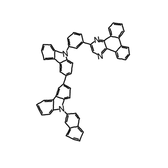 c1cc(-c2cnc3c4ccccc4c4ccccc4c3n2)cc(-n2c3ccccc3c3cc(-c4ccc5c(c4)c4ccccc4n5-c4ccc5ccccc5c4)ccc32)c1